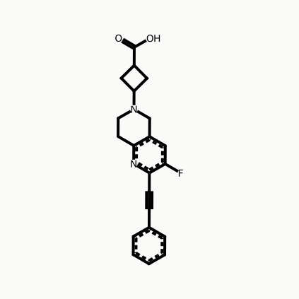 O=C(O)C1CC(N2CCc3nc(C#Cc4ccccc4)c(F)cc3C2)C1